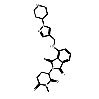 CN1C(=O)CCC(N2C(=O)c3cccc(NCc4cnn(C5CCNCC5)c4)c3C2=O)C1=O